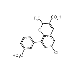 O=C(O)C1=Cc2cc(Cl)cc(-c3cccc(C(=O)O)c3)c2OC1C(F)(F)F